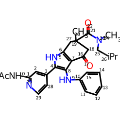 CC(=O)Nc1cc(-c2[nH]c3c(c2Nc2ccccc2)C(=O)CC(C)(C(=O)N(C)CC(C)C)C3)ccn1